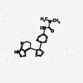 CN(C)C(=O)Nc1ccc(-c2ccsc2C2=c3cc[nH]c3=NCC2)cc1